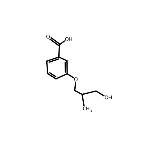 CC(CO)COc1cccc(C(=O)O)c1